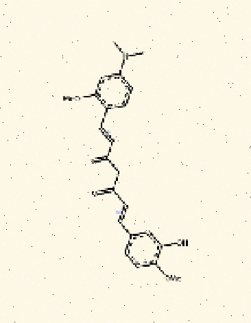 COc1ccc(/C=C/C(=O)CC(=O)/C=C/c2ccc(N(C)C)cc2OC)cc1O